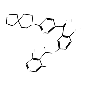 C[C@@H](Oc1ccc(N)c(C(=N)c2ccc(N3CCC4(CCOC4)CC3)nc2)c1)c1c(Cl)cncc1Cl